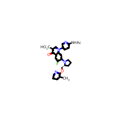 CC(=O)Nc1ccc(-n2cc(C(=O)O)c(=O)c3cc(F)c(N4CCC[C@@H]4COc4ncccc4C)cc32)cn1